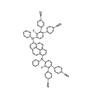 N#Cc1ccc(-c2ccc(N(c3ccccc3)c3ccc4ccc5c(N(c6ccccc6)c6ccc(-c7ccc(C#N)cc7)c(-c7ccc(C#N)cc7)c6F)ccc6ccc3c4c65)c(F)c2-c2ccc(C#N)cc2)cc1